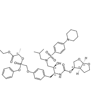 CCOC(=O)[C@H](C)OP(=O)(COc1ccc(C[C@H](NC(=O)O[C@H]2CO[C@H]3OCC[C@H]32)[C@H](O)CN(CC(C)C)S(=O)(=O)c2ccc(N3CCCCC3)cc2)cc1)Oc1ccccc1